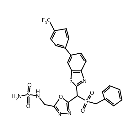 NS(=O)(=O)NCc1nnc(C(c2nc3ccc(-c4ccc(C(F)(F)F)cc4)cc3s2)S(=O)(=O)Cc2ccccc2)o1